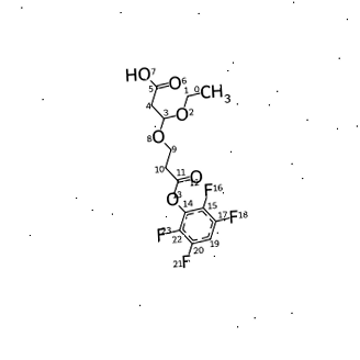 CCOC(CC(=O)O)OCCC(=O)Oc1c(F)c(F)cc(F)c1F